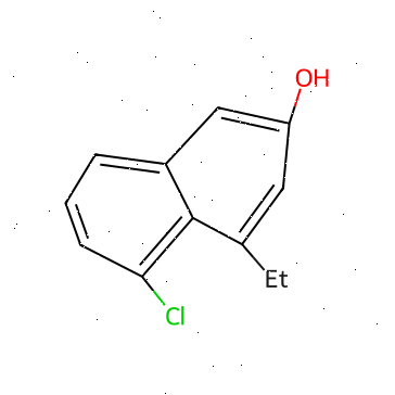 CCc1cc(O)cc2cccc(Cl)c12